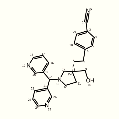 N#Cc1ccc(CC[C@]2(CO)CCN(C(c3cccnc3)c3cccnc3)C2)cc1